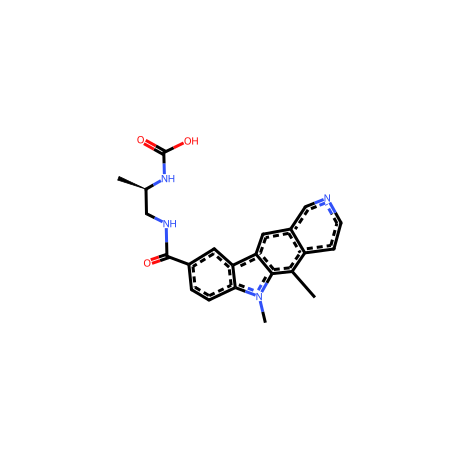 Cc1c2ccncc2cc2c3cc(C(=O)NC[C@@H](C)NC(=O)O)ccc3n(C)c12